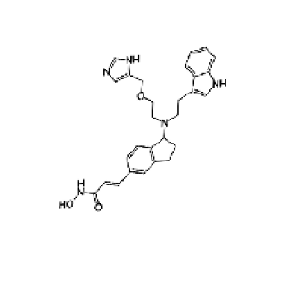 O=C(C=Cc1ccc2c(c1)CCC2N(CCOCc1cnc[nH]1)CCc1c[nH]c2ccccc12)NO